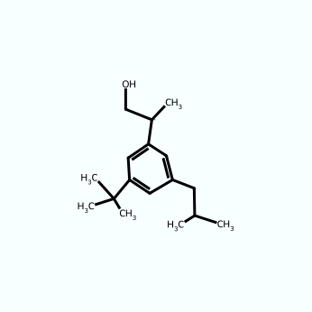 C[C](CO)c1cc(CC(C)C)cc(C(C)(C)C)c1